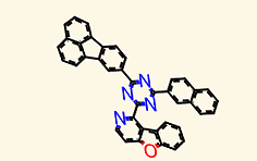 c1ccc2cc(-c3nc(-c4ccc5c(c4)-c4cccc6cccc-5c46)nc(-c4nccc5oc6ccccc6c45)n3)ccc2c1